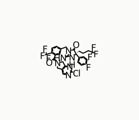 N=C1N[C@](CCCC(F)(F)F)(c2ccc(F)cc2)C(=O)N1Cc1ccc(C(F)(F)F)c(C(=O)N2Cc3cnc(Cl)nc3C2)c1